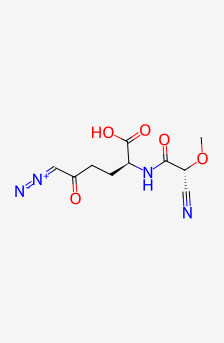 CO[C@H](C#N)C(=O)N[C@@H](CCC(=O)C=[N+]=[N-])C(=O)O